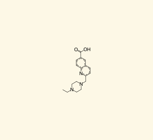 CCN1CCN(Cc2ccc3cc(C(=O)O)ccc3n2)CC1